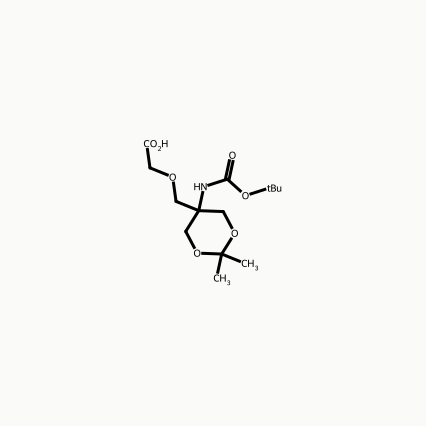 CC(C)(C)OC(=O)NC1(COCC(=O)O)COC(C)(C)OC1